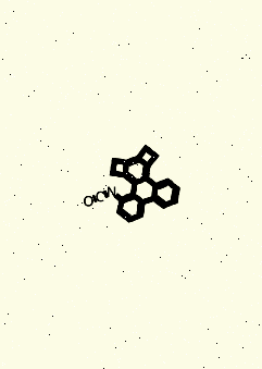 O=C=Nc1cccc2c3ccccc3c3c4c(c5c(c3c12)CC5)CC4